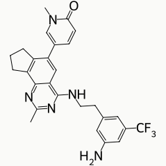 Cc1nc(NCCc2cc(N)cc(C(F)(F)F)c2)c2cc(-c3ccc(=O)n(C)c3)c3c(c2n1)CCC3